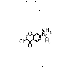 CN(C)c1ccc2c(c1)OCC(Cl)C2=O